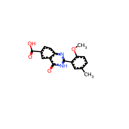 COc1ccc(C)cc1-c1nc2ccc(C(=O)O)cc2c(=O)[nH]1